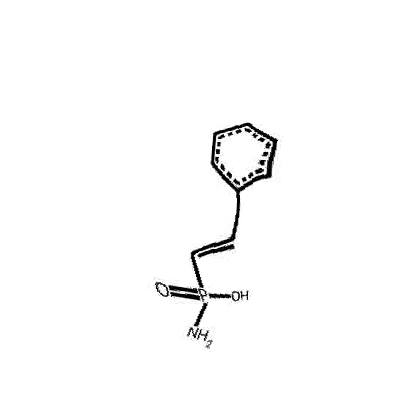 NP(=O)(O)C=Cc1ccccc1